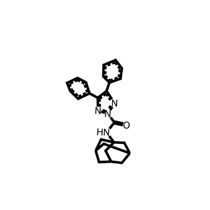 O=C(NC12CC3CC(CC(C3)C1)C2)n1nc(-c2ccccc2)c(-c2ccccc2)n1